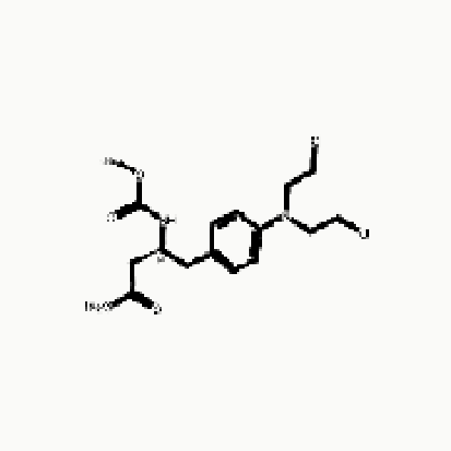 COC(=O)C[C@H](Cc1ccc(N(CCCl)CCCl)cc1)NC(=O)OC(C)(C)C